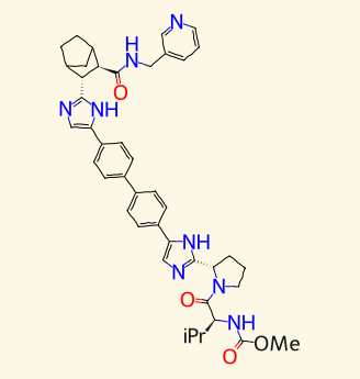 COC(=O)N[C@H](C(=O)N1CCC[C@H]1c1ncc(-c2ccc(-c3ccc(-c4cnc([C@@H]5C6CCC(C6)[C@H]5C(=O)NCc5cccnc5)[nH]4)cc3)cc2)[nH]1)C(C)C